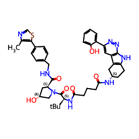 Cc1ncsc1-c1ccc(CNC(=O)[C@@H]2C[C@@H](O)CN2C(=O)[C@@H](NC(=O)CCCC(=O)N[C@H]2CCc3[nH]c4nnc(-c5ccccc5O)cc4c3C2)C(C)(C)C)cc1